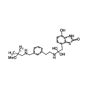 COC(C)(C)CNCc1cccc(CCNC(O)(O)Cc2ccc(O)c3[nH]c(=O)sc23)c1